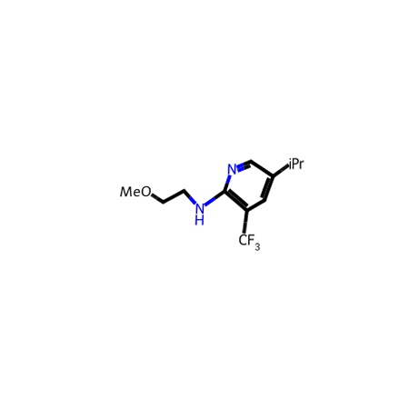 COCCNc1ncc(C(C)C)cc1C(F)(F)F